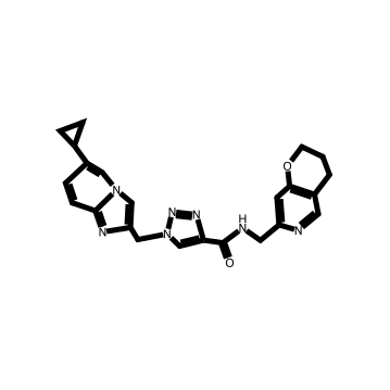 O=C(NCc1cc2c(cn1)CCCO2)c1cn(Cc2cn3cc(C4CC4)ccc3n2)nn1